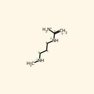 C=C(N)NCCCNC